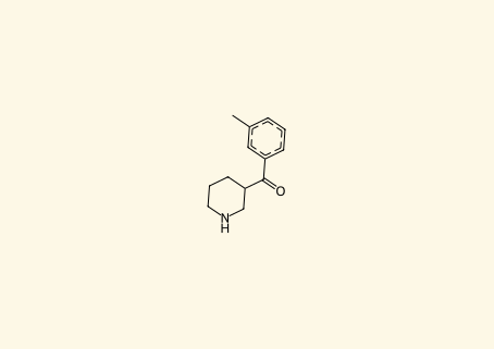 Cc1cccc(C(=O)C2CCCNC2)c1